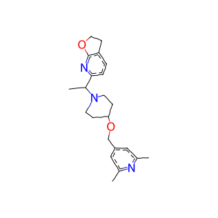 Cc1cc(COC2CCN(C(C)c3ccc4c(n3)OCC4)CC2)cc(C)n1